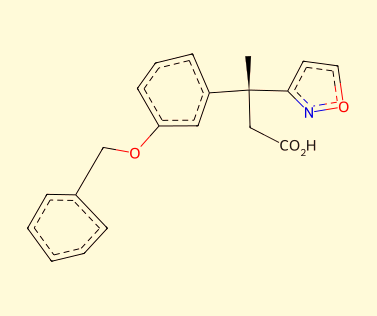 C[C@@](CC(=O)O)(c1cccc(OCc2ccccc2)c1)c1ccon1